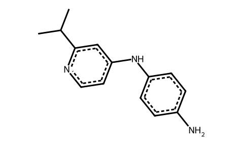 CC(C)c1cc(Nc2ccc(N)cc2)ccn1